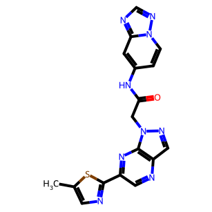 Cc1cnc(-c2cnc3cnn(CC(=O)Nc4ccn5ncnc5c4)c3n2)s1